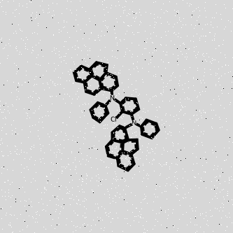 Clc1c(N(c2ccccc2)c2ccc3ccc4cccc5ccc2c3c45)cccc1N(c1ccccc1)c1ccc2ccc3cccc4ccc1c2c34